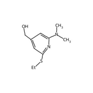 CCSc1cc(CO)cc(N(C)C)n1